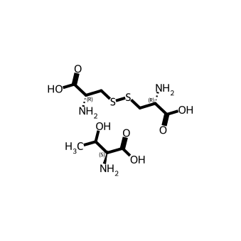 CC(O)[C@H](N)C(=O)O.N[C@@H](CSSC[C@H](N)C(=O)O)C(=O)O